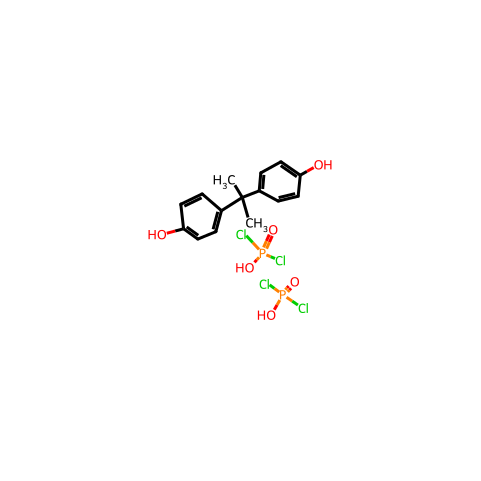 CC(C)(c1ccc(O)cc1)c1ccc(O)cc1.O=P(O)(Cl)Cl.O=P(O)(Cl)Cl